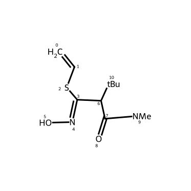 C=CS/C(=N\O)C(C(=O)NC)C(C)(C)C